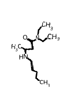 CCCCCNC(C)CC(=O)N(CC)CC